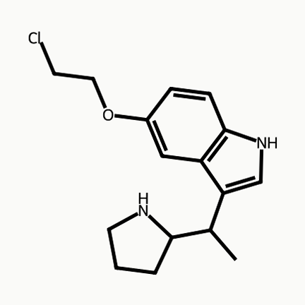 CC(c1c[nH]c2ccc(OCCCl)cc12)C1CCCN1